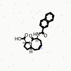 O=C(N[C@H]1C/C=C\C[C@@H]2CC[C@@H](C(=O)O)N2C1=O)c1ccc2ccccc2c1